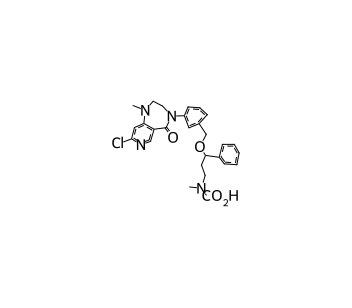 CN(CCC(OCc1cccc(N2CCN(C)c3cc(Cl)ncc3C2=O)c1)c1ccccc1)C(=O)O